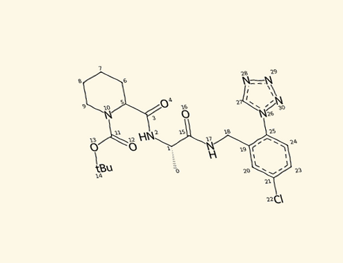 C[C@H](NC(=O)C1CCCCN1C(=O)OC(C)(C)C)C(=O)NCc1cc(Cl)ccc1-n1cnnn1